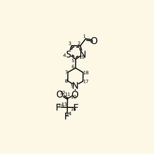 O=Cc1csc(C2CCN(OC(=O)C(F)(F)F)CC2)n1